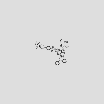 COC[C@H]1O[C@@H](n2cnc3c(NCC(c4ccccc4)c4ccccc4)nc(CNS(=O)(=O)c4ccc(C5CCN(C(=O)C(F)(F)F)CC5)cc4)nc32)[C@H](O)[C@@H]1O